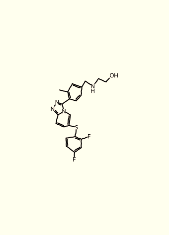 Cc1cc(CNCCO)ccc1-c1nnc2ccc(Sc3ccc(F)cc3F)cn12